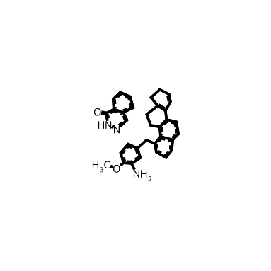 COc1ccc(Cc2cccc3ccc4c(c23)CCC2=C4C=CCC2)cc1N.O=c1[nH]ncc2ccccc12